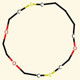 C1CCOCCSCCOCCOCCSCC1